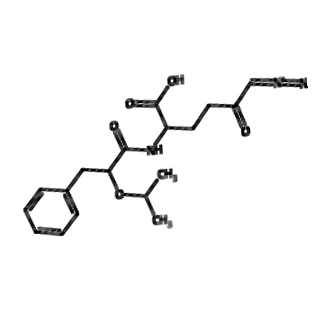 CC(C)OC(Cc1ccccc1)C(=O)NC(CCC(=O)C=[N+]=[N-])C(=O)O